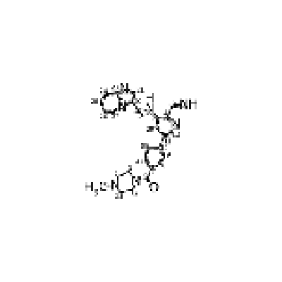 CN1CCN(C(=O)c2ccc(-c3cnc(C=N)c(NSc4cnc5ccccn45)c3)cc2)CC1